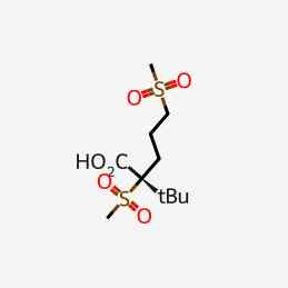 CC(C)(C)[C@](CCCS(C)(=O)=O)(C(=O)O)S(C)(=O)=O